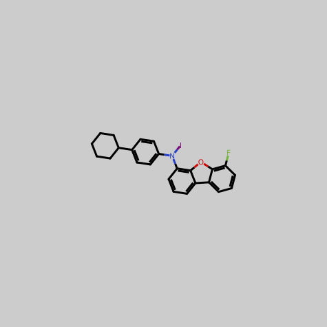 Fc1cccc2c1oc1c(N(I)c3ccc(C4CCCCC4)cc3)cccc12